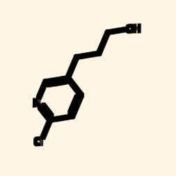 OCCCc1ccc(Cl)nc1